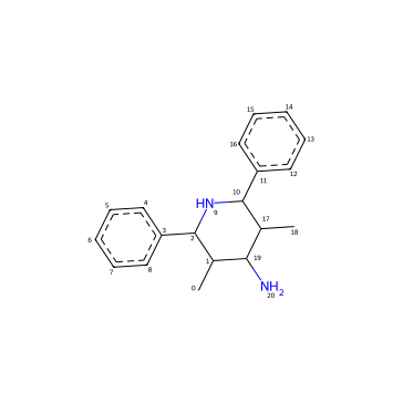 CC1C(c2ccccc2)NC(c2ccccc2)C(C)C1N